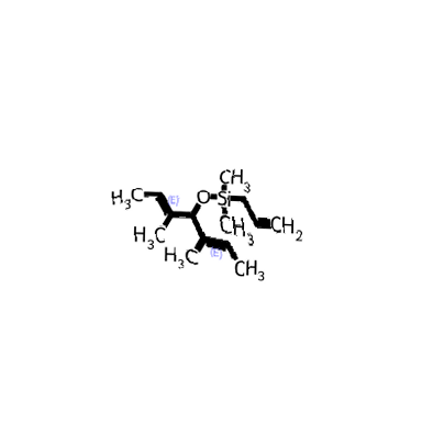 C=CC[Si](C)(C)OC(/C(C)=C/C)/C(C)=C/C